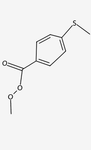 COOC(=O)c1ccc(SC)cc1